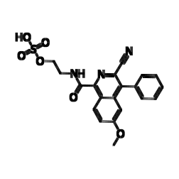 COc1ccc2c(C(=O)NCCOS(=O)(=O)O)nc(C#N)c(-c3ccccc3)c2c1